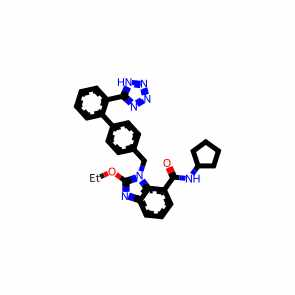 CCOc1nc2cccc(C(=O)NC3CCCC3)c2n1Cc1ccc(-c2ccccc2-c2nnn[nH]2)cc1